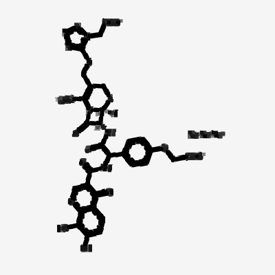 O=C([O-])COc1ccc(C(NC(=O)c2coc3c(O)c(O)ccc3c2=O)C(=O)N[C@@H]2C(=O)N3C(C(=O)[O-])=C(CSc4nnnn4CC(=O)[O-])CS[C@@H]23)cc1.[Na+].[Na+].[Na+]